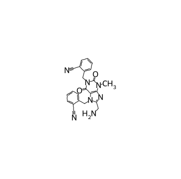 Cn1c(=O)n(Cc2ccccc2C#N)c(=O)c2c1nc(CN)n2Cc1ccccc1C#N